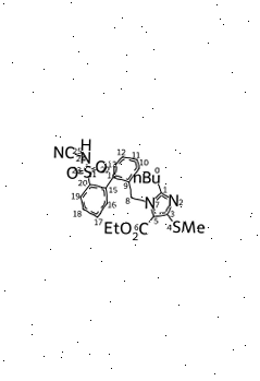 CCCCc1nc(SC)c(C(=O)OCC)n1Cc1ccccc1-c1ccccc1S(=O)(=O)NC#N